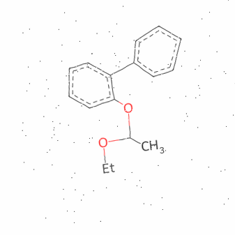 CCOC(C)Oc1ccccc1-c1ccccc1